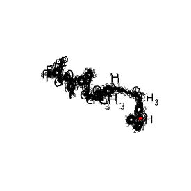 CN(CCN1CCC(N(C(=O)O)c2ccccc2-c2ccccc2)CC1)C(=O)CCCCCNc1ccc(C(=O)N(C)CCN(C)C(=O)CO[C@H]2Cc3ccccc3C23CCN(CC[C@]2(c4ccc(F)cc4)CN(C(=O)c4cc(C(F)(F)F)cc(C(F)(F)F)c4)CO2)CC3)cc1